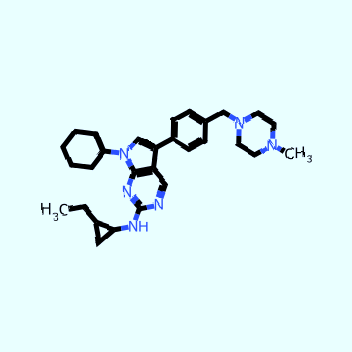 CCC1CC1Nc1ncc2c(-c3ccc(CN4CCN(C)CC4)cc3)cn(C3CCCCC3)c2n1